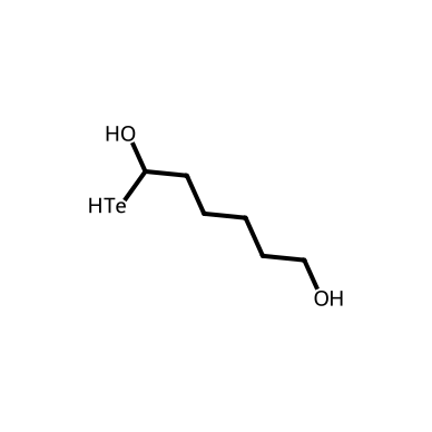 OCCCCCC(O)[TeH]